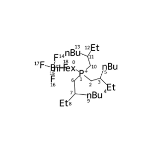 CCCCCC[P+](CC(CC)CCCC)(CC(CC)CCCC)CC(CC)CCCC.F[B-](F)(F)F